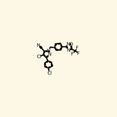 N#Cc1c(Cl)c(-c2ccc(Cl)cc2)nn1Cc1ccc(-c2noc(C(F)(F)F)n2)cc1